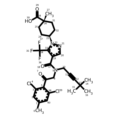 Cc1cc(Cl)c(C(=O)CN(CC#CC(C)(C)C)C(=O)c2cnn([C@H]3CC[C@](C)(C(=O)O)CC3)c2C(F)(F)F)c(Cl)c1